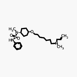 C=CCN(C)CCCCCCCO[C@H]1CC[C@H](N(C)S(=O)(=O)Nc2ccccc2)CC1